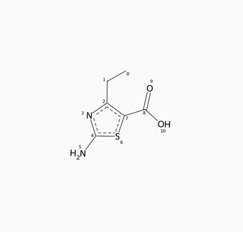 CCc1nc(N)sc1C(=O)O